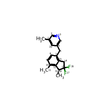 Cc1cncc(Cc2ccc(C)c3c2CC(F)(F)[C@H]3C)c1